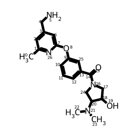 Cc1cc(CN)cc(Oc2cccc(C(=O)N3CC(O)C(N(C)C)C3)c2)n1